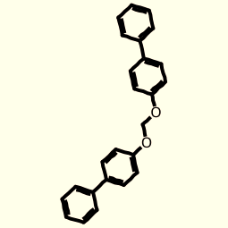 c1ccc(-c2ccc(OCOc3ccc(-c4ccccc4)cc3)cc2)cc1